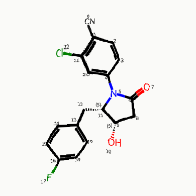 N#Cc1ccc(N2C(=O)C[C@H](O)[C@@H]2Cc2ccc(F)cc2)cc1Cl